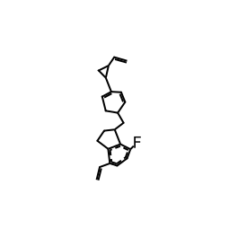 C=Cc1ccc(F)c2c1CCC2CC1C=CC(C2CC2C=C)=CC1